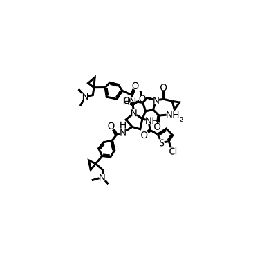 COC(=O)N1CC(NC(=O)c2ccc(C3(CN(C)C)CC3)cc2)CC1(NC(=O)c1ccc(Cl)s1)C1C(NC(=O)c2ccc(C3(CN(C)C)CC3)cc2)CN(C(=O)C2CC2)C1C(N)=O